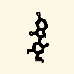 O=c1n(-c2cc(F)c([N+](=O)[O-])cc2F)nc2ccc(Cl)cn12